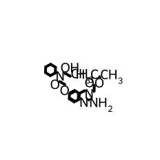 CCC(O)N(C(=O)COc1ccc2c(c1)CN(CC(=O)OC(C)C)C(N)=N2)C1CCCCC1